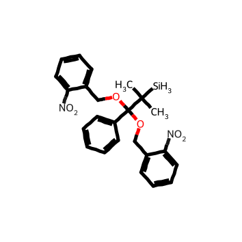 CC(C)([SiH3])C(OCc1ccccc1[N+](=O)[O-])(OCc1ccccc1[N+](=O)[O-])c1ccccc1